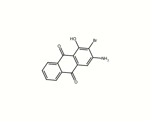 Nc1cc2c(c(O)c1Br)C(=O)c1ccccc1C2=O